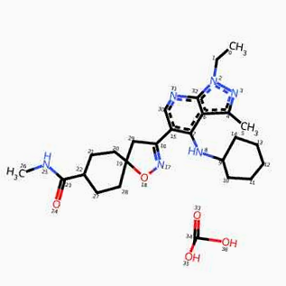 CCn1nc(C)c2c(NC3CCCCC3)c(C3=NOC4(CCC(C(=O)NC)CC4)C3)cnc21.O=C(O)O